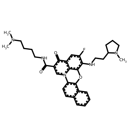 CN(C)CCCCNC(=O)c1cn2c3c(c(NCCC4CCCN4C)c(F)cc3c1=O)Oc1c-2ccc2ccccc12